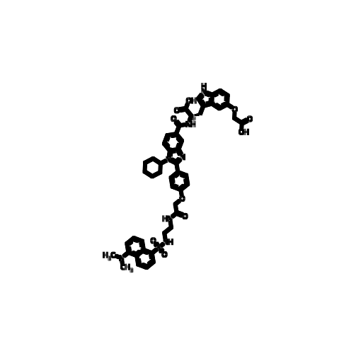 CN(C)c1cccc2c(S(=O)(=O)NCCNC(=O)COc3ccc(-c4nc5cc(C(=O)N[C@@H](Cc6c[nH]c7ccc(OCC(=O)O)cc67)C(=O)O)ccc5n4C4CCCCC4)cc3)cccc12